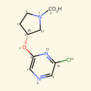 O=C(O)N1CC[C@@H](Oc2cncc(Cl)n2)C1